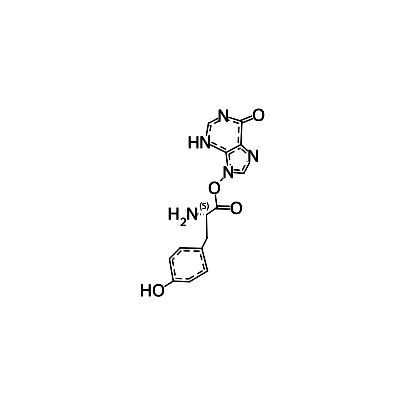 N[C@@H](Cc1ccc(O)cc1)C(=O)On1cnc2c(=O)nc[nH]c21